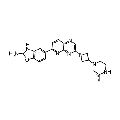 C[C@H]1CN(C2CN(c3cnc4ccc(-c5ccc6c(c5)NC(N)O6)nc4n3)C2)CCN1